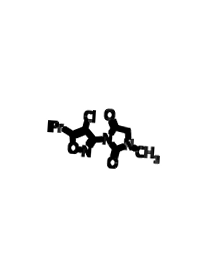 CC(C)c1onc(N2C(=O)CN(C)C2=O)c1Cl